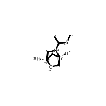 CSC(C)N1C[C@H]2C[C@@H]1CO2